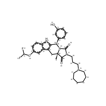 C[C@@]12Cc3c([nH]c4ccc(OC(F)F)cc34)[C@@H](c3cccc(O)c3)N1C(=O)N(CCCN1CCCCCC1)C2=O